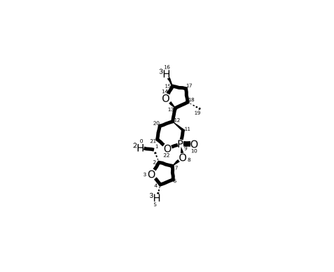 [2H]C[C@H]1O[C@@H]([3H])C[C@@H]1O[P@]1(=O)C[C@H]([C@H]2O[C@@H]([3H])C[C@@H]2C)CCO1